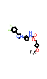 O=C(NC12CC(C1)C(n1cnc(-c3ccc(F)c(F)c3)c1)C2)OCC1CC(OC(F)(F)F)C1